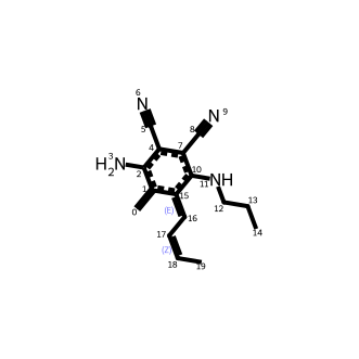 C=c1c(N)c(C#N)c(C#N)c(NCCC)/c1=C/C=C\C